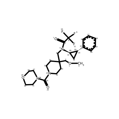 COCC1(CN(C(=O)C(F)(F)F)[C@@H]2C[C@H]2c2ccccc2)CCN(C(=O)N2CCOCC2)CC1